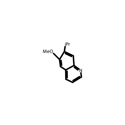 COc1cc2cccnc2cc1C(C)C